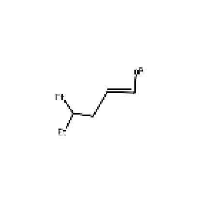 [CH2]CCC=CCC(CC)CC